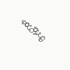 COc1ccc(F)c(CN2CCc3c(ncnc3NC(=O)CC34CC5CC(CC(C5)C3)C4)C2)c1